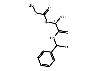 CCCC[C@H](NC(=O)OC(C)(C)C)C(=O)NC(c1ccccc1)C(C)C